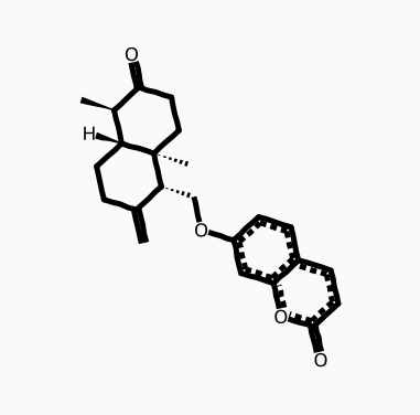 C=C1CC[C@@H]2[C@@H](C)C(=O)CC[C@@]2(C)[C@@H]1COc1ccc2ccc(=O)oc2c1